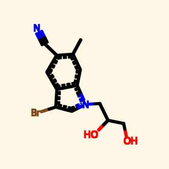 Cc1cc2c(cc1C#N)c(Br)cn2CC(O)CO